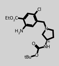 CCOC(=O)c1cc(Cl)c(CN2CC[C@@H](NC(=O)OC(C)(C)C)C2)cc1N